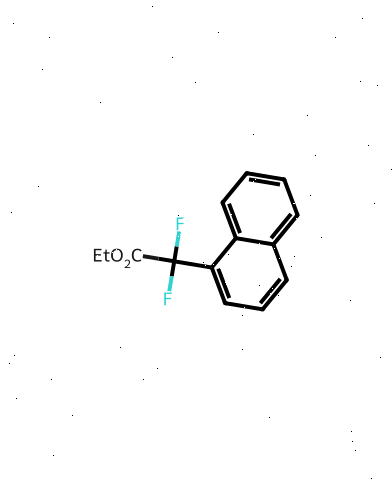 CCOC(=O)C(F)(F)c1cccc2ccccc12